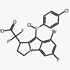 O=C(O)C(F)(F)C1CCn2c1c([S+]([O-])c1ccc(Cl)cc1)c1c(Br)cc(F)cc12